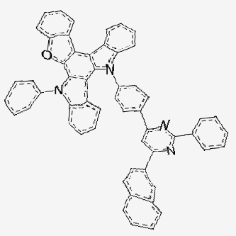 c1ccc(-c2nc(-c3ccc(-n4c5ccccc5c5c6c7ccccc7oc6c6c(c7ccccc7n6-c6ccccc6)c54)cc3)cc(-c3ccc4ccccc4c3)n2)cc1